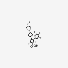 CCC[C@H]1CC[C@H](c2ccc(-c3cc(F)c(C(=O)O)c(F)c3-c3cc(F)c(F)c(F)c3)cc2)CC1